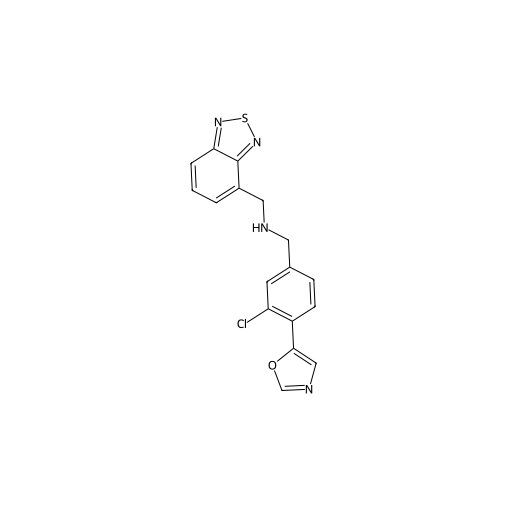 Clc1cc(CNCc2cccc3nsnc23)ccc1-c1cnco1